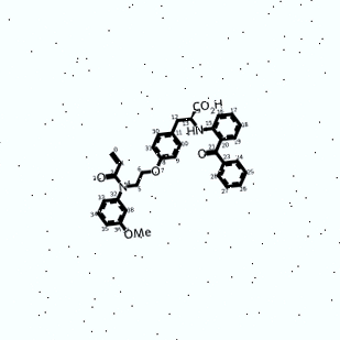 C=CC(=O)N(CCOc1ccc(C[C@H](Nc2ccccc2C(=O)c2ccccc2)C(=O)O)cc1)c1cccc(OC)c1